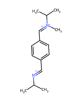 CC(C)/N=C/c1ccc(/C=[N+](\C)C(C)C)cc1